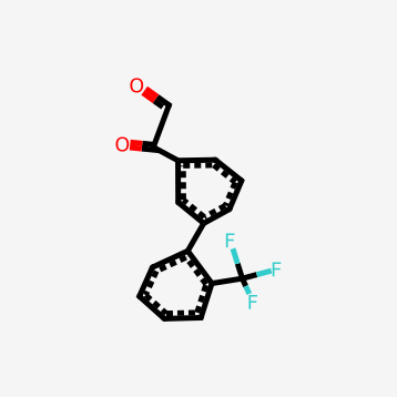 O=CC(=O)c1cccc(-c2ccccc2C(F)(F)F)c1